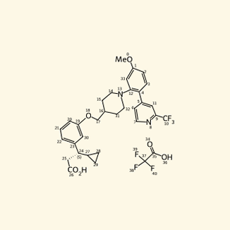 COc1ccc(-c2ccnc(C(F)(F)F)c2)c(N2CCC(COc3cccc([C@@H](CC(=O)O)C4CC4)c3)CC2)c1.O=C(O)C(F)(F)F